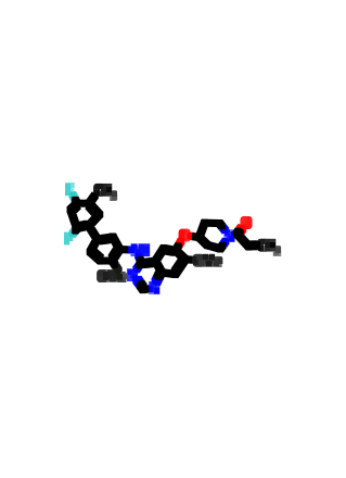 C=CC(=O)N1CCC(Oc2cc3c(Nc4cc(-c5cc(C)c(F)cc5F)ccc4OC)ncnc3cc2OC)CC1